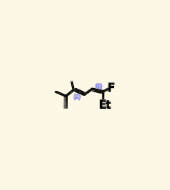 C=C(C)/C(C)=C/C=C(/F)CC